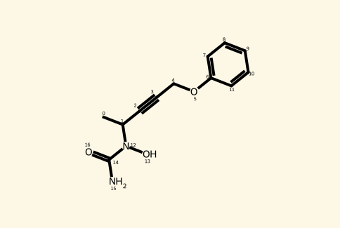 CC(C#CCOc1ccccc1)N(O)C(N)=O